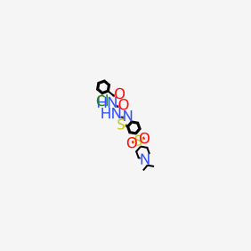 CC(C)N1CCC(S(=O)(=O)c2ccc3nc(NC(=O)NC(=O)c4ccccc4Cl)sc3c2)CC1